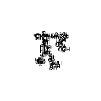 CC[C@@]1(O)C(=O)OCc2c1cc1n(c2=O)Cc2c-1nc1cc(F)c(C)c3c1c2[C@@H](NC(=O)COCNC(=O)CNC(=O)[C@H](Cc1ccccc1)NC(=O)CNC(=O)CNC(=O)[C@H](CCCCNC(=O)C[C@@H]1O[C@H](CO)[C@@H](O)[C@H]1O)NC(=O)CCCCCN1C(=O)C=CC1=O)CC3